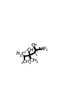 CC(C)C(C)(C)CC(N)=O